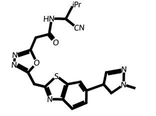 CC(C)C(C#N)NC(=O)Cc1nnc(Cc2nc3ccc(C4C=NN(C)C4)cc3s2)o1